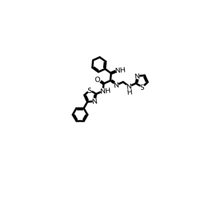 N=C(C1=CCCC=C1)/C(=N\CNc1nccs1)C(=O)Nc1nc(-c2ccccc2)cs1